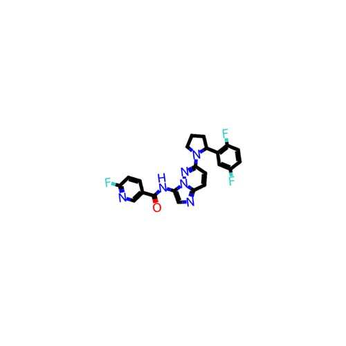 O=C(Nc1cnc2ccc(N3CCCC3c3cc(F)ccc3F)nn12)c1ccc(F)nc1